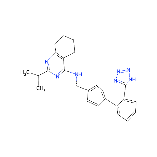 CC(C)c1nc2c(c(NCc3ccc(-c4ccccc4-c4nnn[nH]4)cc3)n1)CCCC2